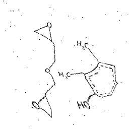 C(OCC1CO1)C1CO1.Cc1cccc(O)c1C